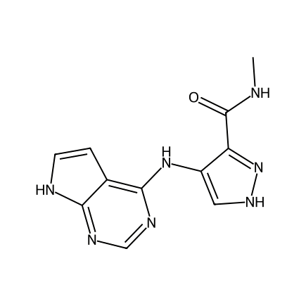 CNC(=O)c1n[nH]cc1Nc1ncnc2[nH]ccc12